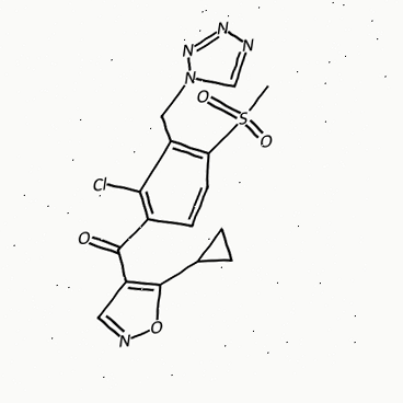 CS(=O)(=O)c1ccc(C(=O)c2cnoc2C2CC2)c(Cl)c1Cn1cnnn1